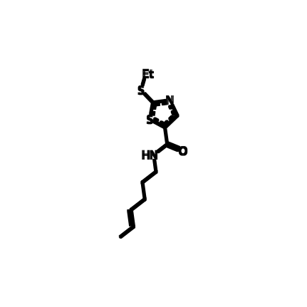 C/C=C/CCCNC(=O)c1cnc(SCC)s1